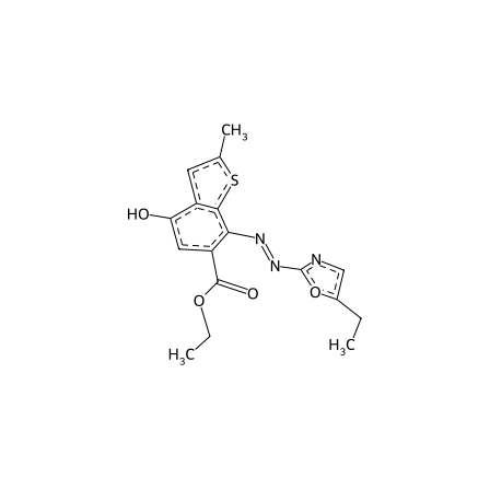 CCOC(=O)c1cc(O)c2cc(C)sc2c1/N=N/c1ncc(CC)o1